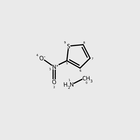 CN.O=[N+]([O-])c1cccs1